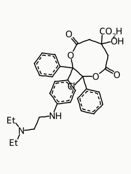 CCN(CC)CCNc1ccc(C2(c3ccccc3)OC(=O)CC(O)(C(=O)O)CC(=O)OC2(Cl)c2ccccc2)cc1